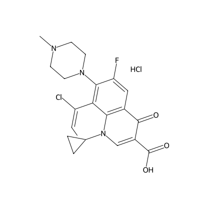 C/C=C(/Cl)c1c(N2CCN(C)CC2)c(F)cc2c(=O)c(C(=O)O)cn(C3CC3)c12.Cl